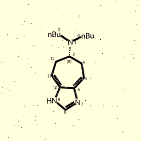 CCCCN(CCCC)[C@@H]1CC=c2nc[nH]c2=CC1